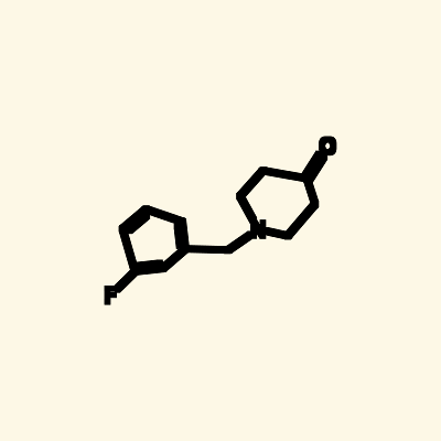 O=C1CCN(Cc2cccc(F)c2)CC1